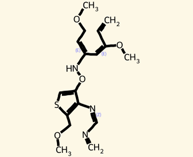 C=C/C(=C\C(=C/COC)NOc1csc(COC)c1/N=C\N=C)OC